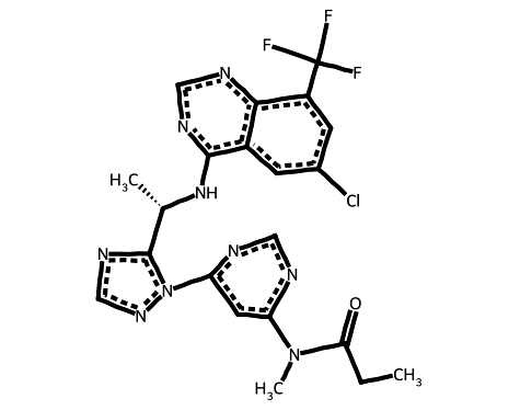 CCC(=O)N(C)c1cc(-n2ncnc2[C@H](C)Nc2ncnc3c(C(F)(F)F)cc(Cl)cc23)ncn1